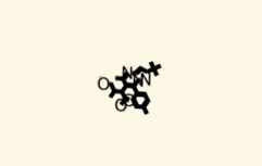 COCC(C)C(C(=O)OC)c1c(C)nc2cc(C(C)(C)C)nn2c1-c1ccc(C)cc1